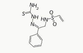 C=CS(=O)(=O)NCC(=NNC(N)=S)c1ccccc1